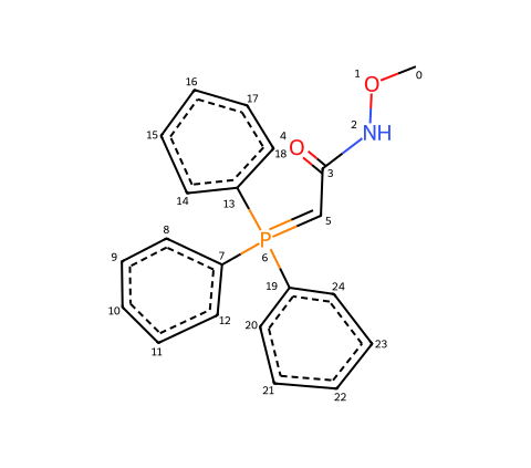 CONC(=O)C=P(c1ccccc1)(c1ccccc1)c1ccccc1